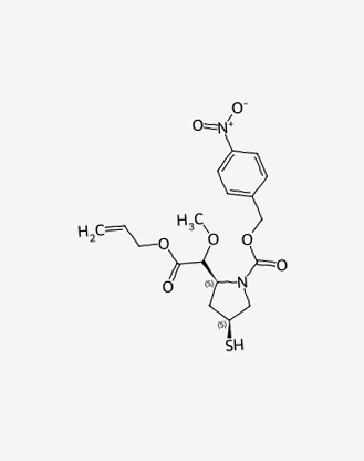 C=CCOC(=O)C(OC)[C@@H]1C[C@H](S)CN1C(=O)OCc1ccc([N+](=O)[O-])cc1